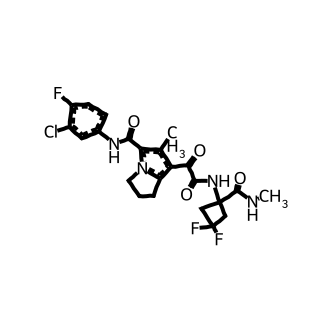 CNC(=O)C1(NC(=O)C(=O)c2c(C)c(C(=O)Nc3ccc(F)c(Cl)c3)n3c2CCC3)CC(F)(F)C1